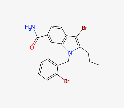 CCCc1c(Br)c2ccc(C(N)=O)cc2n1Cc1ccccc1Br